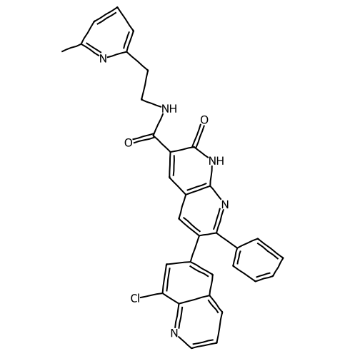 Cc1cccc(CCNC(=O)c2cc3cc(-c4cc(Cl)c5ncccc5c4)c(-c4ccccc4)nc3[nH]c2=O)n1